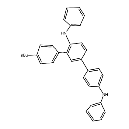 CCCCc1ccc(-c2cc(-c3ccc(Nc4ccccc4)cc3)ccc2Nc2ccccc2)cc1